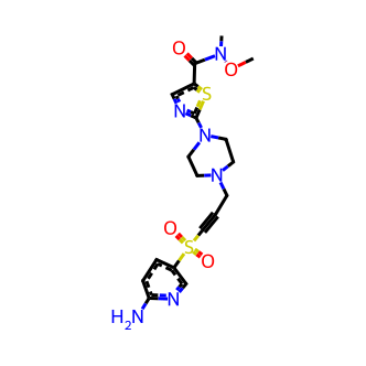 CON(C)C(=O)c1cnc(N2CCN(CC#CS(=O)(=O)c3ccc(N)nc3)CC2)s1